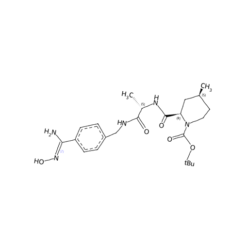 C[C@H]1CCN(C(=O)OC(C)(C)C)[C@@H](C(=O)N[C@@H](C)C(=O)NCc2ccc(/C(N)=N/O)cc2)C1